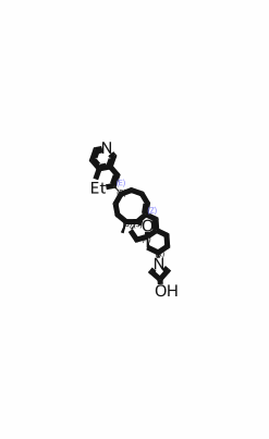 CC/C(=C\c1cnccc1C)[C@@H]1CC/C=C2/C=C3CC[C@@H](N4CC(O)C4)C[C@]34CC[C@]2(O4)[C@@H](C)CC1